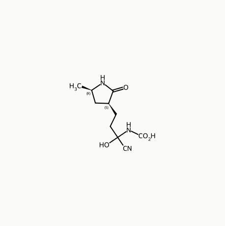 C[C@@H]1C[C@H](CCC(O)(C#N)NC(=O)O)C(=O)N1